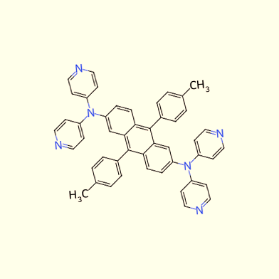 Cc1ccc(-c2c3ccc(N(c4ccncc4)c4ccncc4)cc3c(-c3ccc(C)cc3)c3ccc(N(c4ccncc4)c4ccncc4)cc23)cc1